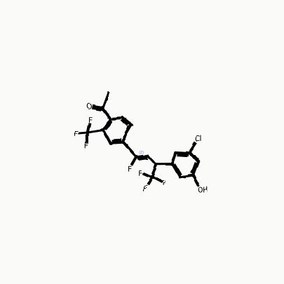 CC(=O)c1ccc(/C(F)=C/C(c2cc(O)cc(Cl)c2)C(F)(F)F)cc1C(F)(F)F